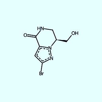 O=C1NC[C@@H](CO)n2nc(Br)cc21